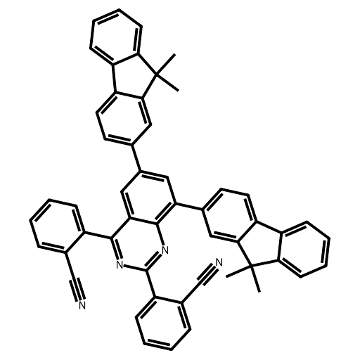 CC1(C)c2ccccc2-c2ccc(-c3cc(-c4ccc5c(c4)C(C)(C)c4ccccc4-5)c4nc(-c5ccccc5C#N)nc(-c5ccccc5C#N)c4c3)cc21